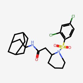 O=C(CC1CCCCN1S(=O)(=O)c1ccc(Cl)cc1Cl)NC12CC3CC(CC(C3)C1)C2